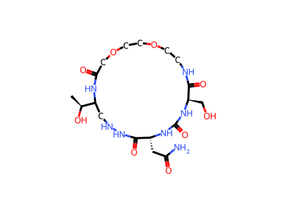 C[C@H](O)C1CNNC(=O)[C@@H](CC(N)=O)NC(=O)N[C@H](CO)C(=O)NCCOCCOCC(=O)N1